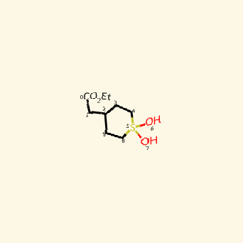 CCOC(=O)CC1CCS(O)(O)CC1